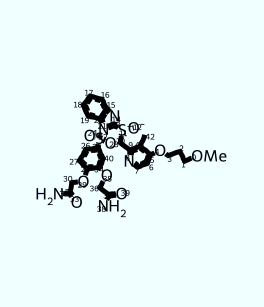 COCCCOc1ccnc(C[S+]([O-])c2nc3ccccc3n2S(=O)(=O)c2ccc(OCC(N)=O)c(OCC(N)=O)c2)c1C